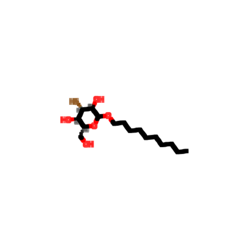 CCCCCCCCCCOC1O[C@H](CO)[C@@H](O)[C@H](S)[C@H]1O